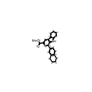 COC(=O)c1cc2c([nH]c3ccccc32)c(-c2ccc3c(c2)CCCC3)n1